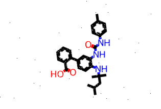 Cc1ccc(NC(=O)Nc2cc(-c3ccccc3C(=O)O)ccc2NC(C)(C)CC(C)C)cc1